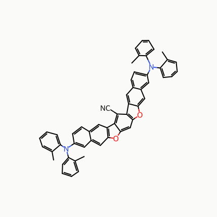 Cc1ccccc1N(c1ccc2cc3c(cc2c1)oc1cc2oc4cc5cc(N(c6ccccc6C)c6ccccc6C)ccc5cc4c2c(C#N)c13)c1ccccc1C